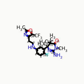 Cc1nc(CCNc2ccc(F)c([C@@]3(C)N=C(N)N(C)C(=O)C3(C)C)c2)c(C(F)(F)F)o1